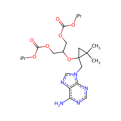 CC(C)OC(=O)OC[C](COC(=O)OC(C)C)OC1(Cn2cnc3c(N)ncnc32)CC1(C)C